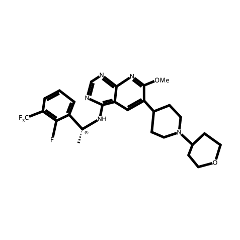 COc1nc2ncnc(N[C@H](C)c3cccc(C(F)(F)F)c3F)c2cc1C1CCN(C2CCOCC2)CC1